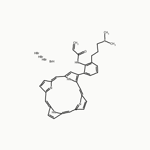 Br.Br.Br.Br.C=CC(=O)Nc1c(CCCN(C)C)cccc1-c1cc2cc3nc(cc4ccc(cc5nc(cc1[nH]2)C=C5)[nH]4)C=C3